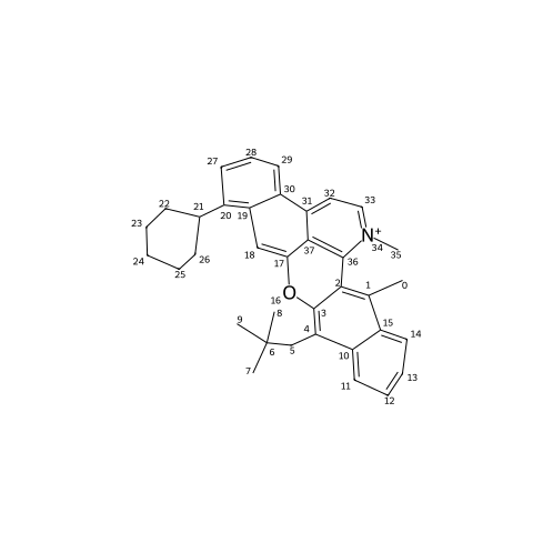 Cc1c2c(c(CC(C)(C)C)c3ccccc13)Oc1cc3c(C4CCCCC4)cccc3c3cc[n+](C)c-2c13